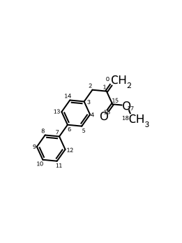 C=C(Cc1ccc(-c2ccccc2)cc1)C(=O)OC